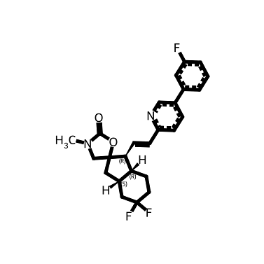 CN1CC2(C[C@H]3CC(F)(F)CC[C@H]3[C@@H]2C=Cc2ccc(-c3cccc(F)c3)cn2)OC1=O